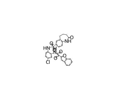 O=C1CCCc2cc(S(=O)(=O)Nc3ccc(Cl)cc3NS(=O)(=O)c3cc4ccccc4o3)ccc2N1